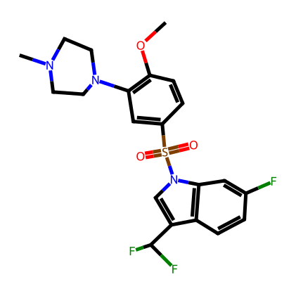 COc1ccc(S(=O)(=O)n2cc(C(F)F)c3ccc(F)cc32)cc1N1CCN(C)CC1